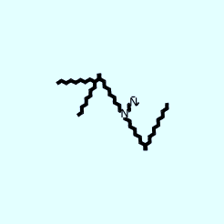 C=C(CCCCCCCCCC)CCCCCCCN(CCCCCCCCC(=C)C(CCCCCCCC)CCCCCCCC)CCN(C)C